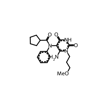 COCCCn1c(N)c(N(C(=O)C2CCCC2)c2ccccc2)c(=O)[nH]c1=O